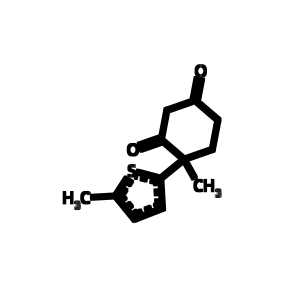 Cc1ccc(C2(C)CCC(=O)CC2=O)s1